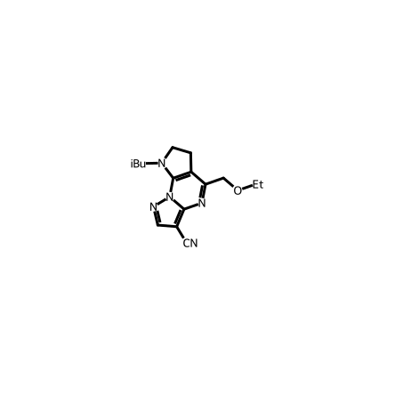 CCOCc1nc2c(C#N)cnn2c2c1CCN2C(C)CC